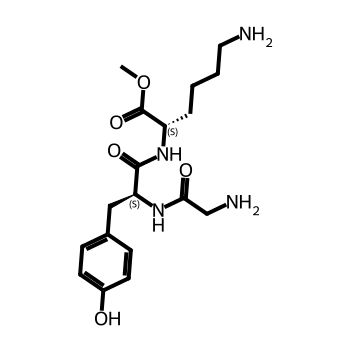 COC(=O)[C@H](CCCCN)NC(=O)[C@H](Cc1ccc(O)cc1)NC(=O)CN